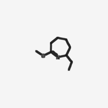 CCC1CCCCC(OC)=N1